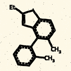 CCC1=Cc2c(ccc(C)c2-c2ccccc2C)[CH]1